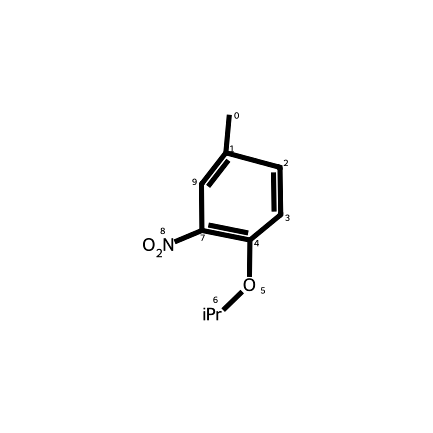 Cc1ccc(OC(C)C)c([N+](=O)[O-])c1